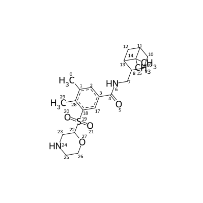 Cc1cc(C(=O)NCC2CCC3CC2C3(C)C)cc(S(=O)(=O)C2CNCCO2)c1C